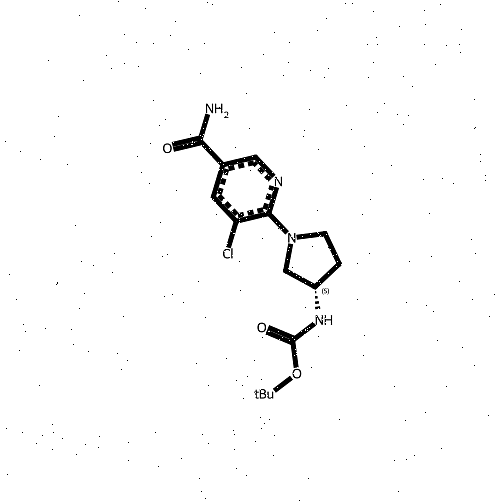 CC(C)(C)OC(=O)N[C@H]1CCN(c2ncc(C(N)=O)cc2Cl)C1